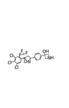 OC1(c2ccc(C3=NO[C@](c4cc(Cl)c(Cl)c(Cl)c4)(C(F)(F)F)C3)cc2)CNC1